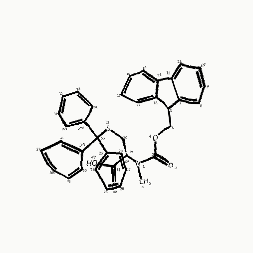 CN(C(=O)OCC1c2ccccc2-c2ccccc21)[C@H](CSC(c1ccccc1)(c1ccccc1)c1ccccc1)C(=O)O